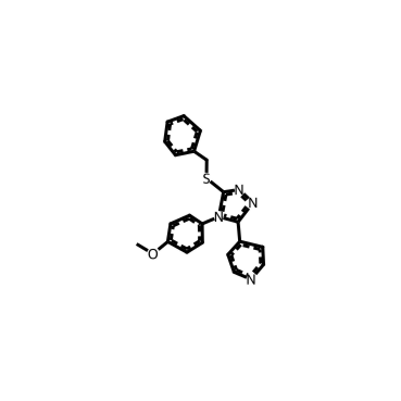 COc1ccc(-n2c(SCc3ccccc3)nnc2-c2ccncc2)cc1